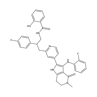 CN1CCc2[nH]c(-c3ccnc(CC(CNC(=O)c4ccccc4O)c4ccc(F)cc4)c3)c(Nc3ccccc3F)c2C1=O